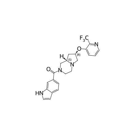 O=C(c1ccc2cc[nH]c2c1)N1CCN2C[C@H](Oc3cccnc3C(F)(F)F)C[C@H]2C1